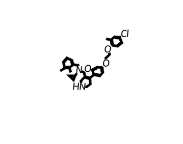 Cc1cc(Cl)ccc1OCCOc1ccc(C2=C(C(=O)N(Cc3cccc(C)c3C)C3CC3)CNCC2)cc1